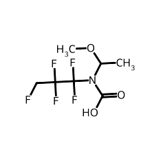 COC(C)N(C(=O)O)C(F)(F)C(F)(F)CF